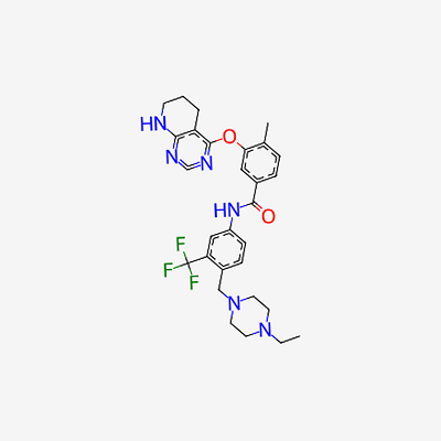 CCN1CCN(Cc2ccc(NC(=O)c3ccc(C)c(Oc4ncnc5c4CCCN5)c3)cc2C(F)(F)F)CC1